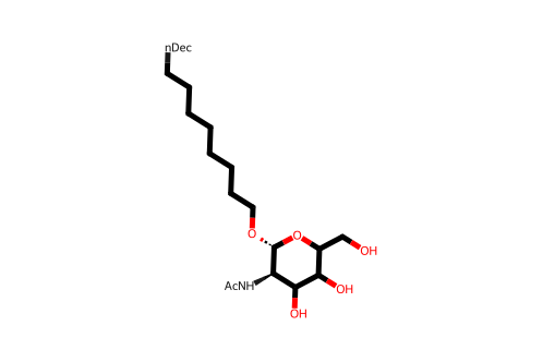 CCCCCCCCCCCCCCCCCCO[C@@H]1OC(CO)C(O)C(O)[C@H]1NC(C)=O